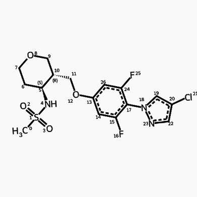 CS(=O)(=O)N[C@H]1CCOC[C@@H]1COc1cc(F)c(-n2cc(Cl)cn2)c(F)c1